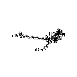 CCCCCCCCCCCCCCCC(=O)O[C@H](COC(=O)CCCCCCCCCCCCCCCCSC(=O)CCC)COP(=O)(O)OC1C(O)[C@@H](O)C(OP(=O)(O)O)[C@@H](O)[C@H]1O